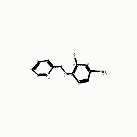 O=[N+]([O-])c1ccc(OCc2ccccn2)c(F)c1